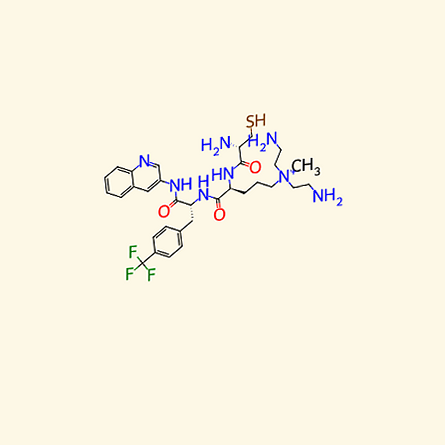 C[N+](CCN)(CCN)CCC[C@H](NC(=O)[C@H](N)CS)C(=O)N[C@H](Cc1ccc(C(F)(F)F)cc1)C(=O)Nc1cnc2ccccc2c1